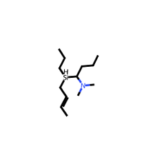 C/C=C/C[SiH](CCC)C(CCC)N(C)C